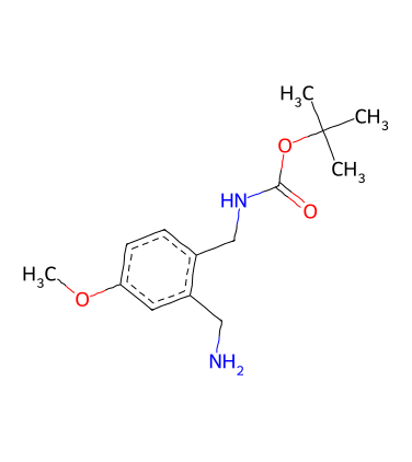 COc1ccc(CNC(=O)OC(C)(C)C)c(CN)c1